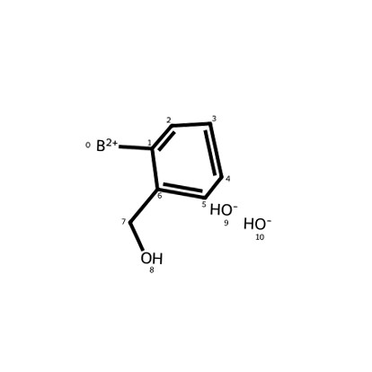 [B+2]c1ccccc1CO.[OH-].[OH-]